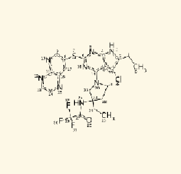 CCc1[nH]c2nc(Sc3cnc4nccnc4c3)nc(N3CCC(CC)(NC(=O)C(F)(F)F)C3)c2c1Cl